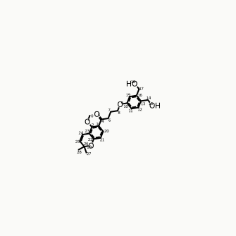 COc1c(C(=O)CCCOc2ccc(CO)c(CO)c2)ccc2c1C=CC(C)(C)O2